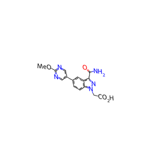 COc1ncc(-c2ccc3c(c2)c(C(N)=O)nn3CC(=O)O)cn1